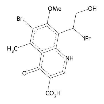 COc1c(Br)c(C)c2c(=O)c(C(=O)O)c[nH]c2c1C(CO)C(C)C